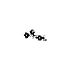 O=C(O)c1ccc(CNC(=O)c2cnccc2Oc2ccc(F)cc2)cc1